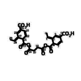 CC=C1C=C(C(=O)O)C=CC1C(=O)OC(=O)CCC(=O)OC(=O)C1C=CC(C(=O)O)=CC1=CC